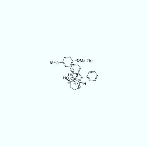 COc1ccc(OC)c(CN[C@H]2[C@H]3CCN(C[C@@H]3C(=O)O)[C@H]2C(c2ccccc2)c2ccccc2)c1.Cl